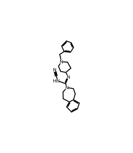 N#CN/C(=N\C1CCN(Cc2ccccc2)CC1)N1CCc2ccccc2CC1